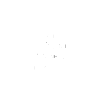 CN(CC(=O)O)C(=N)N.NCCS(=O)(=O)O